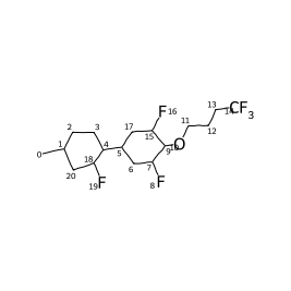 CC1CCC(C2CC(F)C(OCCCC(F)(F)F)C(F)C2)C(F)C1